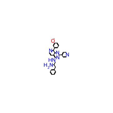 COc1cccc(-c2nccc3c(NCC(N)Cc4ccccc4)nc(-c4ccncc4)nc23)c1